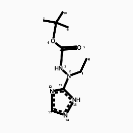 CCN(NC(=O)OC(C)(C)C)c1ncn[nH]1